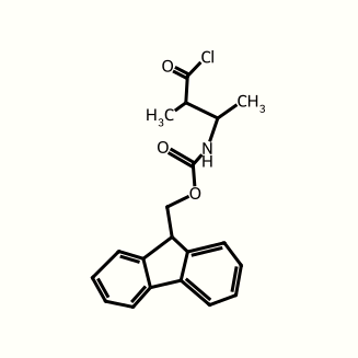 CC(NC(=O)OCC1c2ccccc2-c2ccccc21)C(C)C(=O)Cl